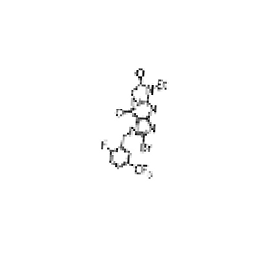 CCN1C(=O)Cn2c1nc1nc(Br)n(Cc3cc(C(F)(F)F)ccc3F)c1c2=O